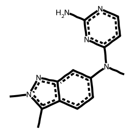 Cc1c2ccc(N(C)c3ccnc(N)n3)cc2nn1C